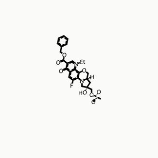 CCn1cc(C(=O)OCc2ccccc2)c(=O)c2cc(F)c3c(c21)OC[C@@H]1C[C@@](O)(COS(C)(=O)=O)CN31